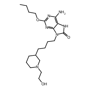 CCCCOc1nc(N)c2[nH]c(=O)n(CCCCC3CCCN(CCO)C3)c2n1